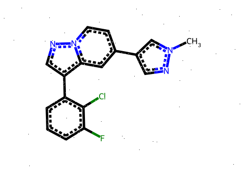 Cn1cc(-c2ccn3ncc(-c4cccc(F)c4Cl)c3c2)cn1